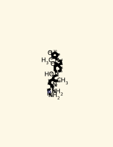 CC1=C(N2CCC3(CCN(CC(O)c4ccc(N(N)/C=N\N)nc4C)CC3)C2=O)CCC1=O